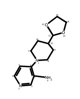 Nc1cnccc1N1CCC(C2OCCO2)CC1